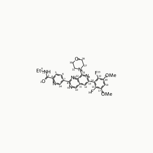 CCNC(=O)c1ccc(-c2ncc3cc(-c4c(F)c(OC)cc(OC)c4F)nc(N4CCOCC4)c3n2)cn1